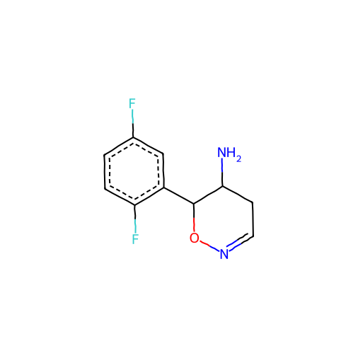 NC1CC=NOC1c1cc(F)ccc1F